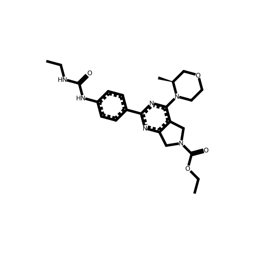 CCNC(=O)Nc1ccc(-c2nc3c(c(N4CCOC[C@@H]4C)n2)CN(C(=O)OCC)C3)cc1